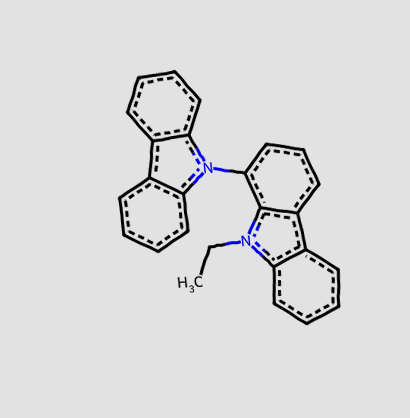 CCn1c2ccccc2c2cccc(-n3c4ccccc4c4ccccc43)c21